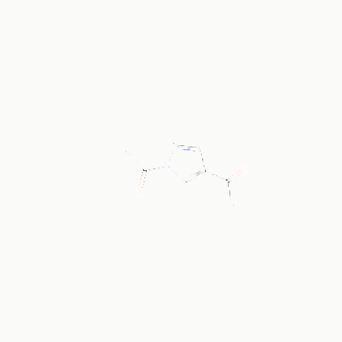 NC(=O)c1[c]nn(C(N)=O)c1